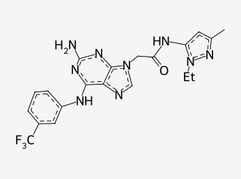 CCn1nc(C)cc1NC(=O)Cn1cnc2c(Nc3cccc(C(F)(F)F)c3)nc(N)nc21